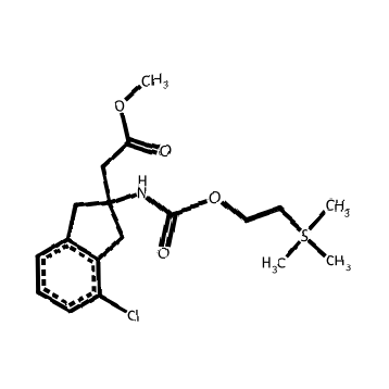 COC(=O)CC1(NC(=O)OCCS(C)(C)C)Cc2cccc(Cl)c2C1